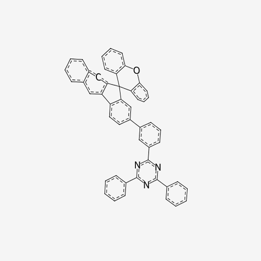 c1ccc(-c2nc(-c3ccccc3)nc(-c3cccc(-c4ccc5c(c4)C4(c6ccccc6Oc6ccccc64)c4cc6ccccc6cc4-5)c3)n2)cc1